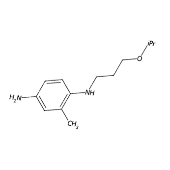 Cc1cc(N)ccc1NCCCOC(C)C